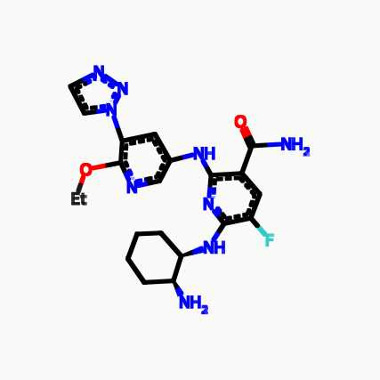 CCOc1ncc(Nc2nc(N[C@@H]3CCCC[C@@H]3N)c(F)cc2C(N)=O)cc1-n1ccnn1